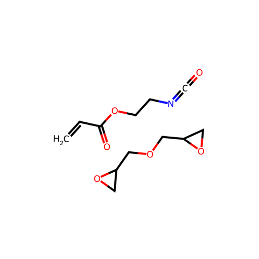 C(OCC1CO1)C1CO1.C=CC(=O)OCCN=C=O